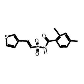 Cc1ccc(C(=O)NS(=O)(=O)C=Cc2ccsc2)c(C)c1